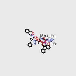 CC[C@H](C)[C@@H]([C@@H](CC(=O)N1CCC[C@H]1[C@H](OC)[C@@H](C)C(=O)N[C@@]1(C(=O)N2Cc3ccccc3CO2)C[C@@H]1c1ccccc1)OC)N(C)[C@H](C(=O)NC(=O)[C@H](C(C)C)N(C)C(=O)OCC1c2ccccc2-c2ccccc21)C(C)C